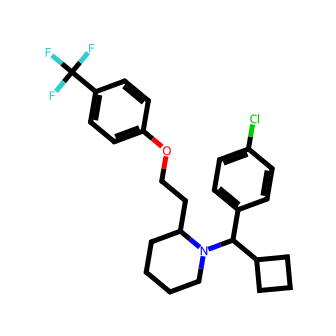 FC(F)(F)c1ccc(OCCC2CCCCN2C(c2ccc(Cl)cc2)C2CCC2)cc1